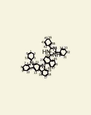 C1=CCCC(n2c3ccccc3c3cc4c5ccccc5n(-c5ccc(C6NC(C7=CCCC=C7)=NC(C7=CCCC=C7)N6)c6ccccc56)c4cc32)=C1